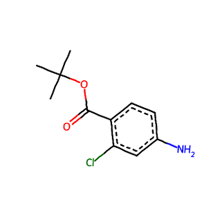 CC(C)(C)OC(=O)c1ccc(N)cc1Cl